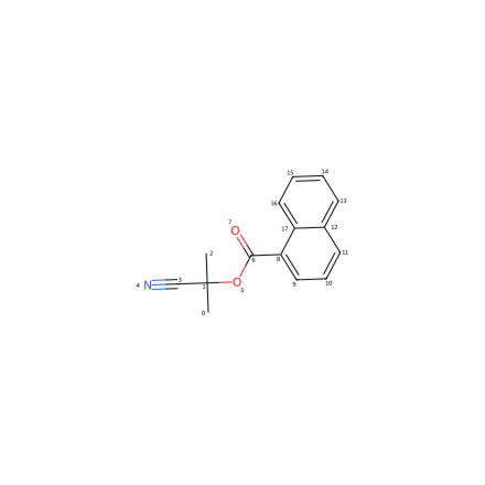 CC(C)(C#N)OC(=O)c1cccc2ccccc12